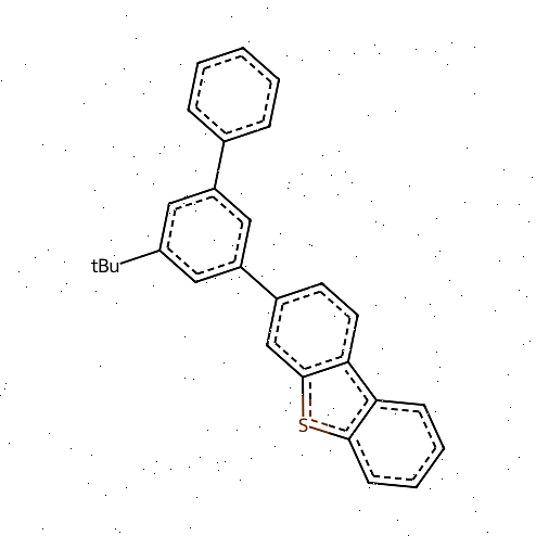 CC(C)(C)c1cc(-c2ccccc2)cc(-c2ccc3c(c2)sc2ccccc23)c1